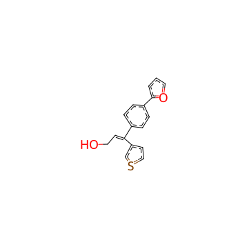 OCC=C(c1ccc(-c2ccco2)cc1)c1ccsc1